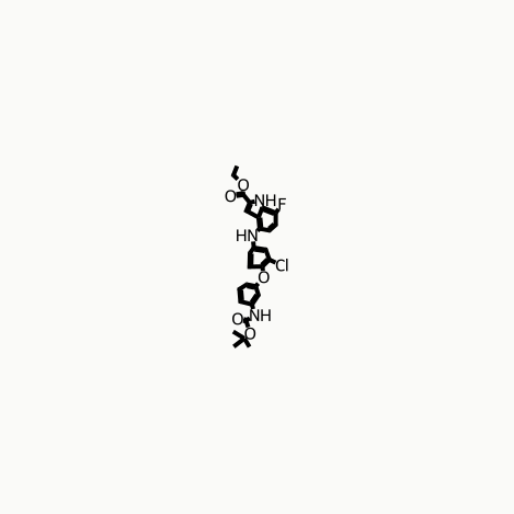 CCOC(=O)c1cc2c(Nc3ccc(Oc4cccc(NC(=O)OC(C)(C)C)c4)c(Cl)c3)ccc(F)c2[nH]1